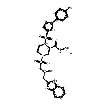 Cl.O=C(NO)[C@H]1CN(S(=O)(=O)CC(S)Cc2nc3ccccc3[nH]2)CCN1S(=O)(=O)c1ccc(-c2ccc(Cl)cc2)s1